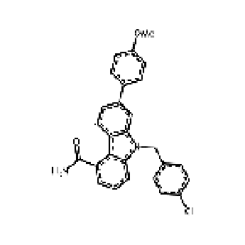 COc1ccc(-c2c[c]c3c4c(C(N)=O)cccc4n(Cc4ccc(Cl)cc4)c3c2)cc1